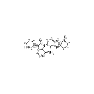 Nc1nccc2c1n(-c1ccc(Oc3c(F)cccc3F)cc1)c(=O)n2[C@@H]1CCCNC1